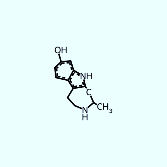 CC1Cc2[nH]c3cc(O)ccc3c2CCN1